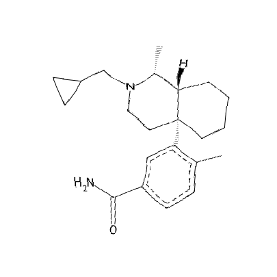 Cc1ccc(C(N)=O)cc1[C@@]12CCCC[C@H]1[C@@H](C)N(CC1CC1)CC2